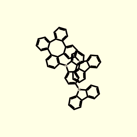 c1ccc2c(c1)-c1ccccc1-c1cccc(-n3c4ccccc4c4cc(-n5c6ccccc6c6ccccc65)ccc43)c1-c1cc(-n3c4ccccc4c4ccccc43)ccc1-2